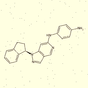 Nc1ccc(Nc2cc3c(cn2)cnn3[C@@H]2CCc3ccccc32)cc1